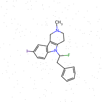 CN1CCc2c(c3cc(I)ccc3n2C(F)Cc2ccccc2)C1